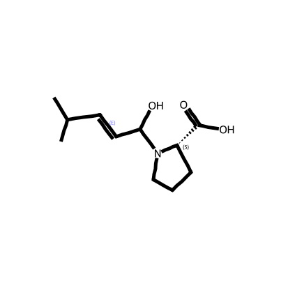 CC(C)/C=C/C(O)N1CCC[C@H]1C(=O)O